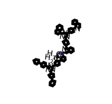 C=Nc1c(/C(=C\C)c2cc3ccccc3c(-c3ccc(-c4nc(-c5ccc(-c6nccc7ccccc67)cc5)nc(-c5cccc6ccccc56)n4)cc3)n2)cccc1-c1ccc(-c2nc(-c3ccc(-c4ccccc4)cc3)nc(-c3ccc(-c4ccccc4)cc3)n2)cc1